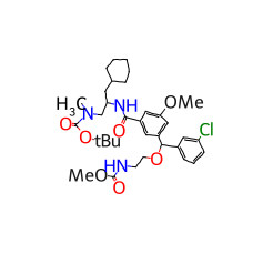 COC(=O)NCCOC(c1cccc(Cl)c1)c1cc(OC)cc(C(=O)NC(CC2CCCCC2)CN(C)C(=O)OC(C)(C)C)c1